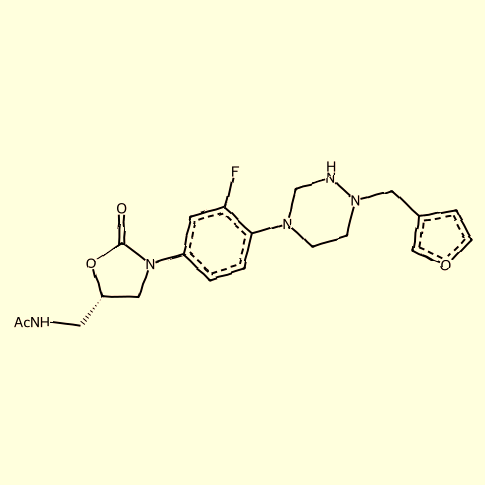 CC(=O)NC[C@H]1CN(c2ccc(N3CCN(Cc4ccoc4)NC3)c(F)c2)C(=O)O1